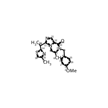 COc1ccc(Cn2c(C)cn3c(C(C)c4nc(C)cs4)ncc3c2=O)cc1